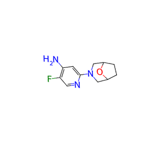 Nc1cc(N2CC3CCC(C2)O3)ncc1F